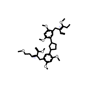 C=C/C(Cc1cc(C2CCC(c3cc(C/C(=C/CCOC)C(=C)OC)c(OC)cc3OC)C2)c(OC)cc1OC)=C(\CC)OC